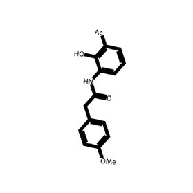 COc1ccc(CC(=O)Nc2cccc(C(C)=O)c2O)cc1